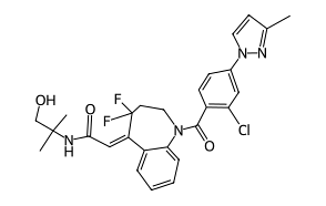 Cc1ccn(-c2ccc(C(=O)N3CCC(F)(F)/C(=C\C(=O)NC(C)(C)CO)c4ccccc43)c(Cl)c2)n1